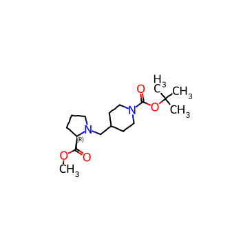 COC(=O)[C@H]1CCCN1CC1CCN(C(=O)OC(C)(C)C)CC1